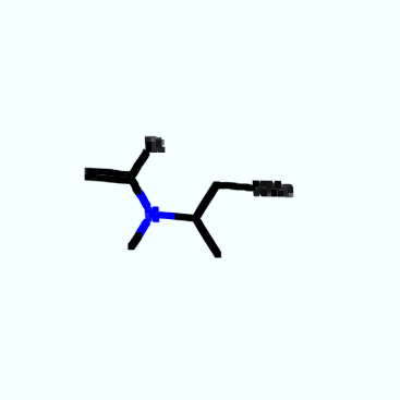 C=C(CC)N(C)C(C)CNC